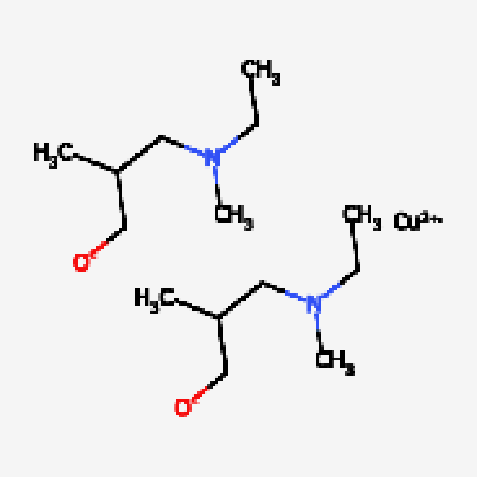 CCN(C)CC(C)C[O-].CCN(C)CC(C)C[O-].[Cu+2]